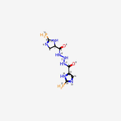 O=C(NNNC(=O)C1CN=C(P)N1)c1cnc(P)[nH]1